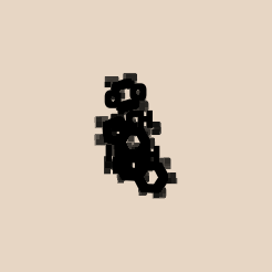 C[C@]12CC[C@H]3[C@@H](CCC4CCCC[C@@]43C)[C@@H]1CC[C@@H]2C1=COCCO1